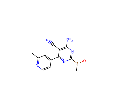 Cc1cc(-c2nc([S+](C)[O-])nc(N)c2C#N)ccn1